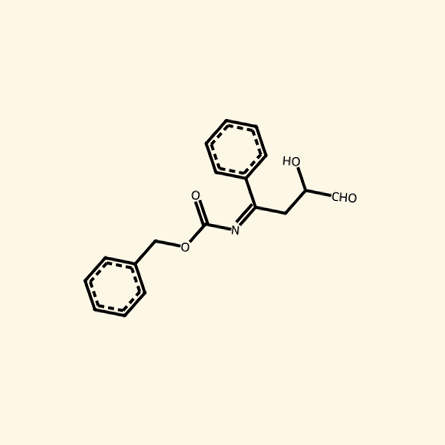 O=CC(O)C/C(=N/C(=O)OCc1ccccc1)c1ccccc1